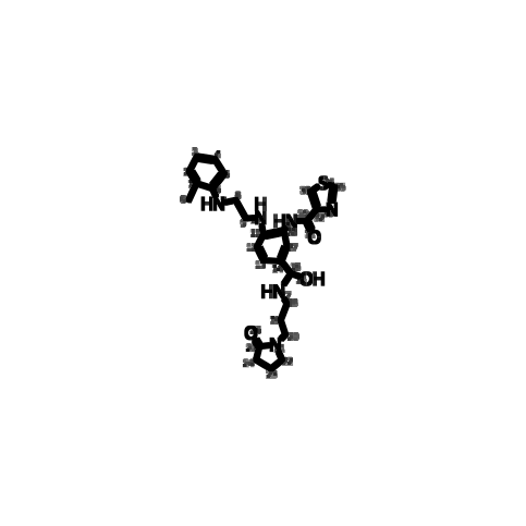 Cc1ccccc1NCCNc1ccc(C(O)NCCCN2CCCC2=O)cc1NC(=O)c1cscn1